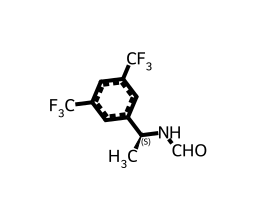 C[C@H](NC=O)c1cc(C(F)(F)F)cc(C(F)(F)F)c1